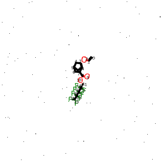 C=COC1CC2CC(C(=O)OCC(F)(F)C(F)(F)C(F)(F)C(F)F)C1C2